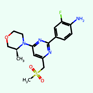 C[C@H]1COCCN1c1cc(CS(C)(=O)=O)nc(-c2ccc(N)c(F)c2)n1